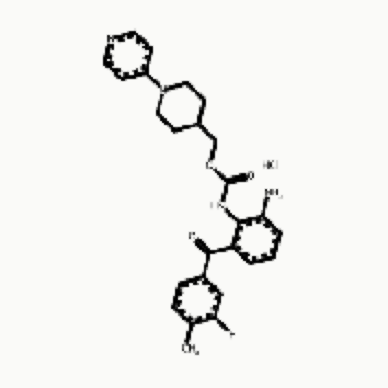 Cc1ccc(C(=O)c2cccc(N)c2NC(=O)OCC2CCN(c3ccncc3)CC2)cc1F.Cl